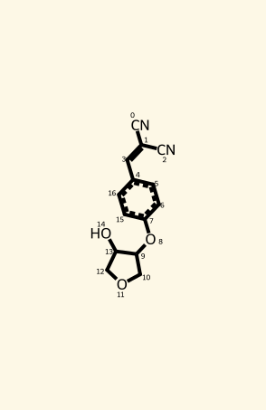 N#CC(C#N)=Cc1ccc(OC2COCC2O)cc1